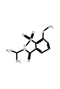 CSc1cccc(C(=O)OC(C)C)c1S(=O)(=O)Cl